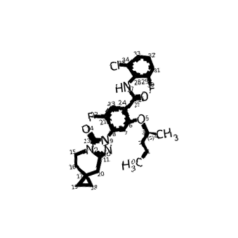 CCC[C@H](C)Oc1cc(-n2nc3n(c2=O)CCC2(CC2)C3)c(F)cc1C(=O)Nc1c(F)cccc1Cl